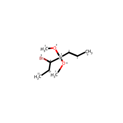 CCC[Si](OC)(OC)C(Br)CC